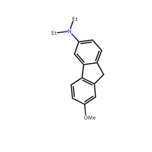 CCN(CC)c1ccc2c(c1)-c1ccc(OC)cc1C2